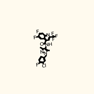 Cc1nn(Cc2ccc(F)c(Cl)c2)c(C)c1NC(=O)c1cc(C(F)(F)F)nc2cc(F)c(F)cc12